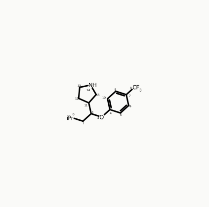 CC(C)CC(Oc1ccc(C(F)(F)F)cc1)C1CCNC1